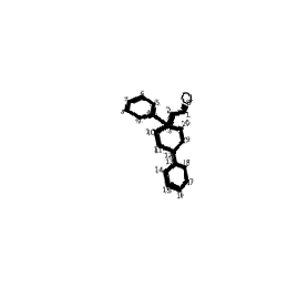 O=CCC1(C2CC=CCC2)CCC(C2CC=CCC2)CC1